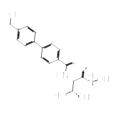 CCc1ccc(-c2ccc(C(=O)N[C@H](C(=O)NO)[C@@H](C)O)cc2)cc1